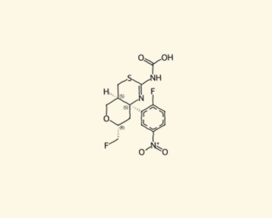 O=C(O)NC1=N[C@@]2(c3cc([N+](=O)[O-])ccc3F)C[C@H](CF)OC[C@H]2CS1